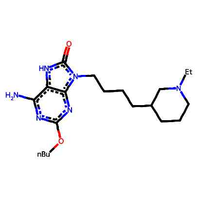 CCCCOc1nc(N)c2[nH]c(=O)n(CCCCC3CCCN(CC)C3)c2n1